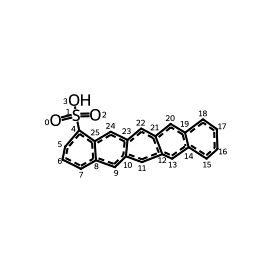 O=S(=O)(O)c1cccc2cc3cc4cc5ccccc5cc4cc3cc12